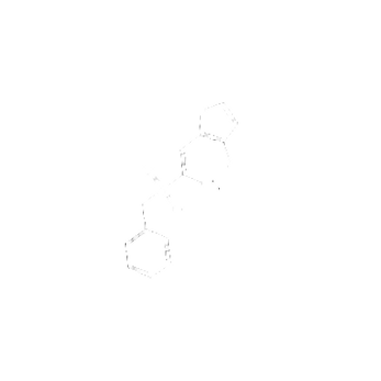 Cc1ccoc1/C=C(\C#N)S(=O)(=O)Cc1ccccc1